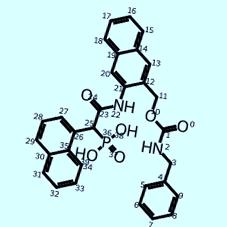 O=C(NCc1ccccc1)OCc1cc2ccccc2cc1NC(=O)C(c1cccc2ccccc12)P(=O)(O)O